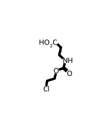 O=C(O)CCNC(=O)OCCCl